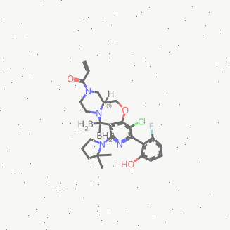 BC1(B)c2c(N3CCCC3(C)C)nc(-c3c(O)cccc3F)c(Cl)c2OC[C@H]2CN(C(=O)C=C)CCN21